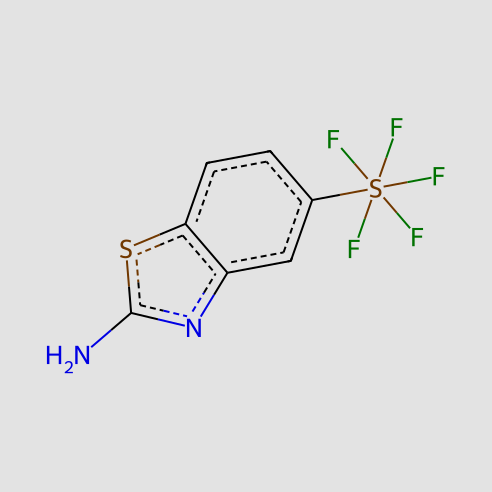 Nc1nc2cc(S(F)(F)(F)(F)F)ccc2s1